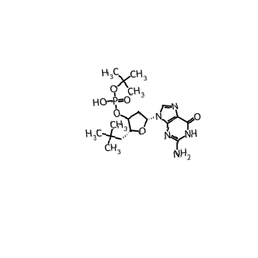 CC(C)(C)C[C@H]1O[C@@H](n2cnc3c(=O)[nH]c(N)nc32)CC1OP(=O)(O)OC(C)(C)C